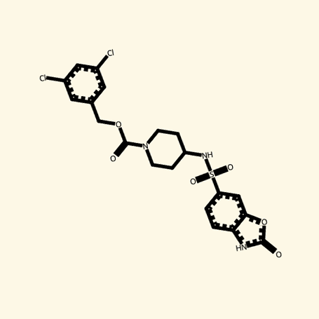 O=C(OCc1cc(Cl)cc(Cl)c1)N1CCC(NS(=O)(=O)c2ccc3[nH]c(=O)oc3c2)CC1